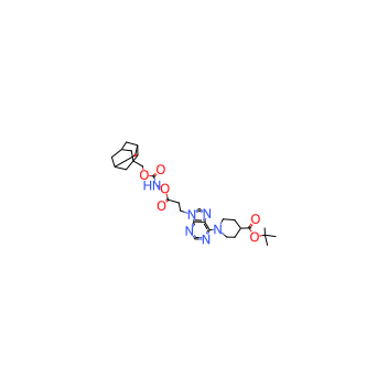 CC(C)(C)OC(=O)C1CCN(c2ncnc3c2ncn3CCC(=O)ONC(=O)OCC23CC4CC(CC(C4)C2)C3)CC1